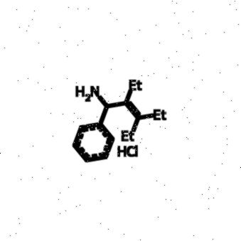 CCC(CC)=C(CC)C(N)c1ccccc1.Cl